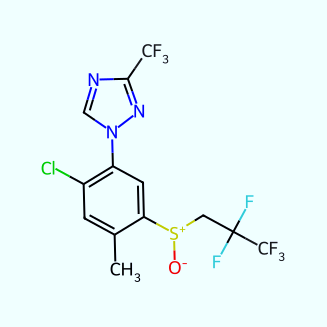 Cc1cc(Cl)c(-n2cnc(C(F)(F)F)n2)cc1[S+]([O-])CC(F)(F)C(F)(F)F